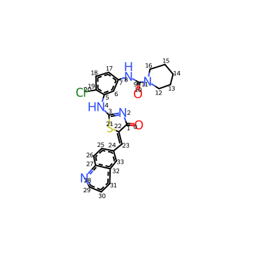 O=C1N=C(Nc2cc(NC(=O)N3CCCCC3)ccc2Cl)S/C1=C\c1ccc2ncccc2c1